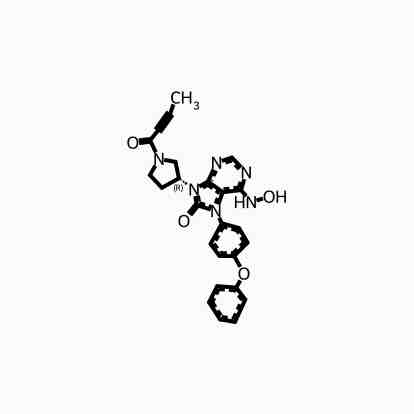 CC#CC(=O)N1CC[C@@H](n2c(=O)n(-c3ccc(Oc4ccccc4)cc3)c3c(NO)ncnc32)C1